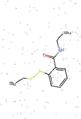 CC(C)(C)CNC(=O)c1ccccc1SSCC(C)(C)C